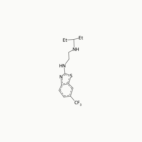 CCC(CC)NCCNc1nc2ccc(C(F)(F)F)cc2s1